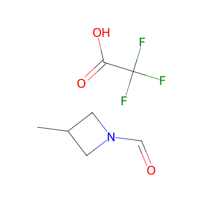 CC1CN(C=O)C1.O=C(O)C(F)(F)F